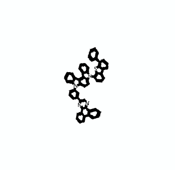 c1ccc(-c2cccc3c2sc2c(-n4c5ccccc5c5c6c7ccccc7n(-c7cccc(-c8cnc9c%10ccccc%10c%10ccccc%10c9n8)c7)c6ccc54)cccc23)cc1